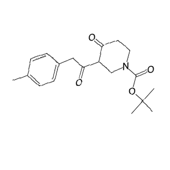 Cc1ccc(CC(=O)C2CN(C(=O)OC(C)(C)C)CCC2=O)cc1